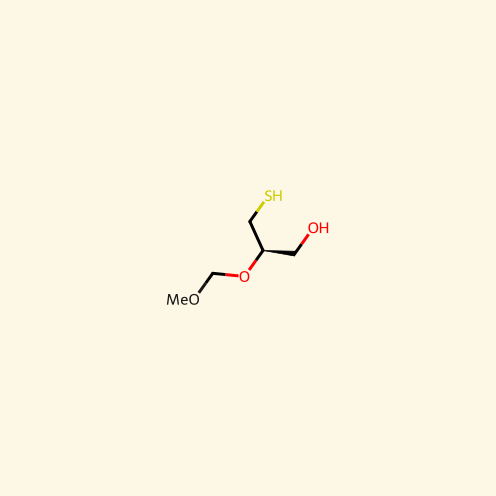 COCO[C@H](CO)CS